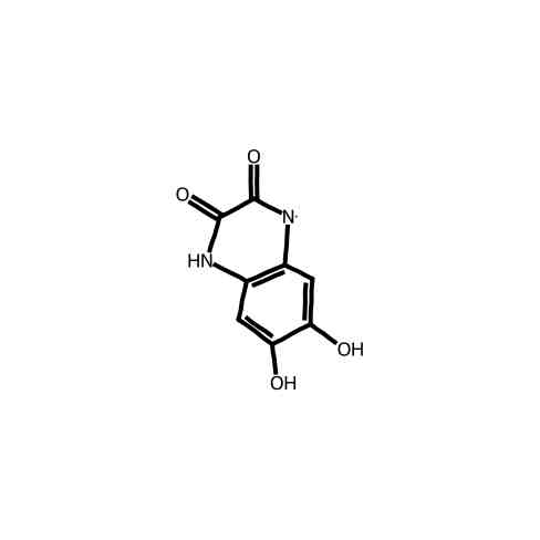 O=C1[N]c2cc(O)c(O)cc2NC1=O